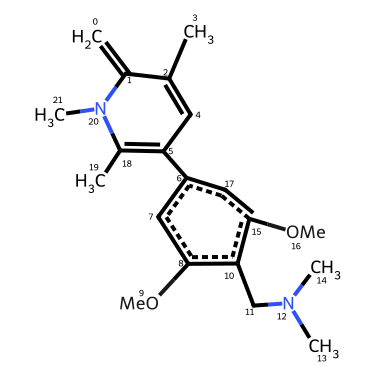 C=C1C(C)=CC(c2cc(OC)c(CN(C)C)c(OC)c2)=C(C)N1C